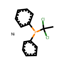 CC(Cl)(Cl)P(c1ccccc1)c1ccccc1.[Ni]